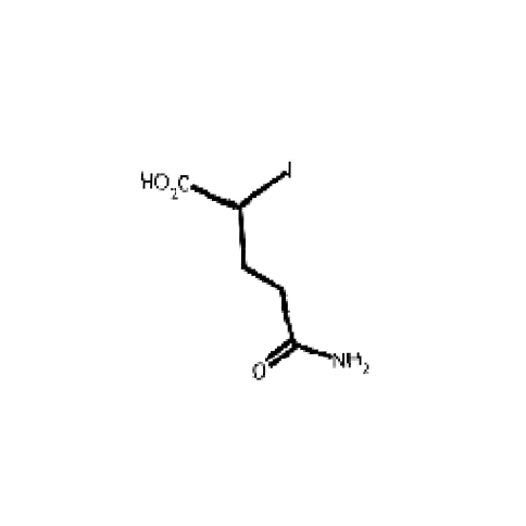 NC(=O)CCC(I)C(=O)O